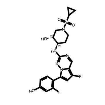 N#Cc1ccc(-c2cc(F)c3cnc(N[C@@H]4CCN(S(=O)(=O)C5CC5)C[C@H]4O)nn23)c(F)c1